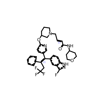 O=C(/C=C/CN1CCCC(Oc2ccc(/C(=C(/CC(F)(F)F)c3ccccc3)c3ccc4[nH]nc(F)c4c3)cn2)C1)NC1CCOCC1